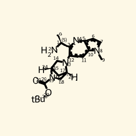 C[C@H](N)c1nc2ccn(C)c2cc1N1C[C@@H]2C[C@H]1CN2C(=O)OC(C)(C)C